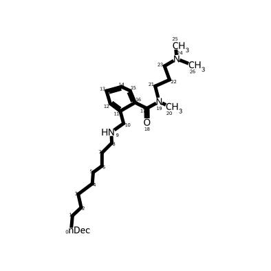 CCCCCCCCCCCCCCCCCCNCc1ccccc1C(=O)N(C)CCCN(C)C